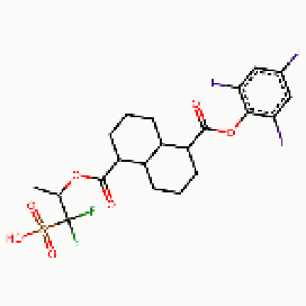 CC(OC(=O)C1CCCC2C(C(=O)Oc3c(I)cc(I)cc3I)CCCC12)C(F)(F)S(=O)(=O)O